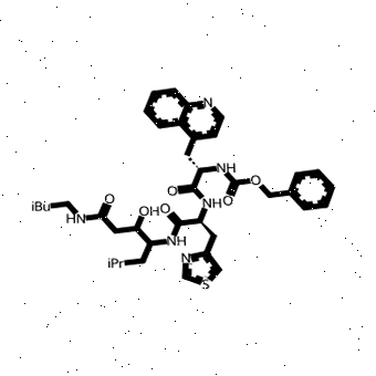 CCC(C)CNC(=O)CC(O)C(CC(C)C)NC(=O)[C@H](Cc1cscn1)NC(=O)[C@H](Cc1ccnc2ccccc12)NC(=O)OCc1ccccc1